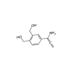 C=C=C(N)c1ccc(CO)c(CO)c1